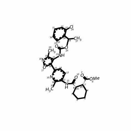 COC(=O)[C@@H]1CCCC[C@@H]1C(=O)Nc1ccc(-c2onc(C)c2NC(=O)OC(C)c2ccccc2Cl)nc1C